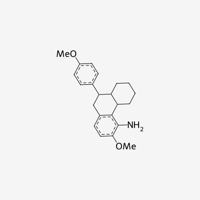 COc1ccc(C2Cc3ccc(OC)c(N)c3C3CCCCC23)cc1